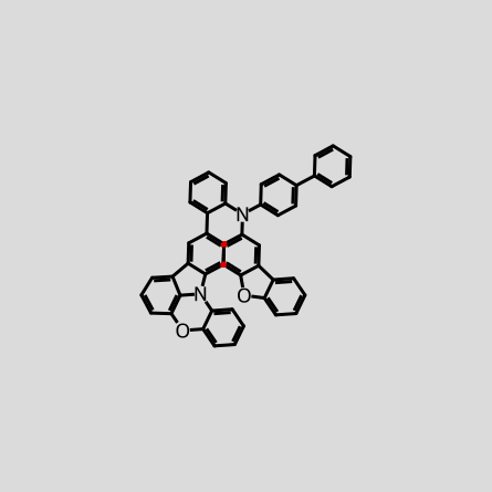 c1ccc(-c2ccc(N(c3ccc4oc5ccccc5c4c3)c3ccccc3-c3ccc4c(c3)c3cccc5c3n4-c3ccccc3O5)cc2)cc1